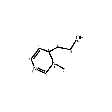 CN1C=NC=CC1CCO